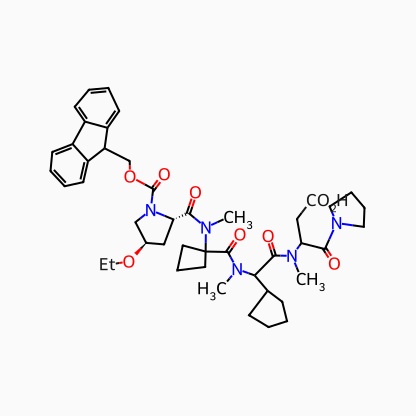 CCO[C@@H]1C[C@@H](C(=O)N(C)C2(C(=O)N(C)C(C(=O)N(C)C(CC(=O)O)C(=O)N3CCCC3)C3CCCC3)CCC2)N(C(=O)OCC2c3ccccc3-c3ccccc32)C1